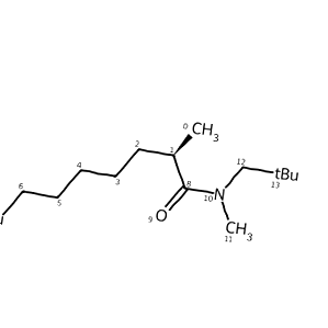 C[C@H](CCCCCC(C)(C)C)C(=O)N(C)CC(C)(C)C